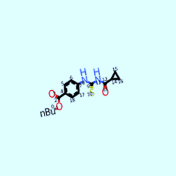 CCCCOC(=O)c1ccc(NC(=S)NC(=O)C2CC2)cc1